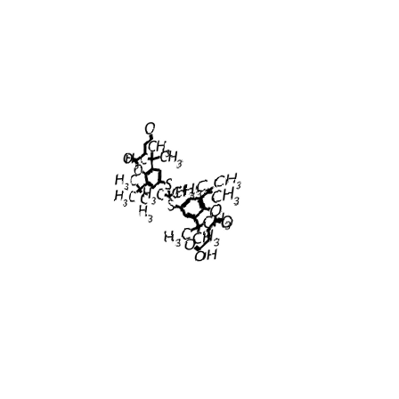 CC(C)(Sc1cc(C(C)(C)C)c(OC(=O)CCC=O)c(C(C)(C)C)c1)Sc1cc(C(C)(C)C)c(OC(=O)CCC(=O)O)c(C(C)(C)C)c1